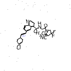 C[C@@]1(C#N)CC(F)(F)CN1C(=O)CNC(=O)c1ccnc2ccc(/C=C/C3C=CC(Cl)=CC3)cc12